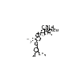 Cc1c(OCc2ccc(C3CC3)c(C(F)(F)F)c2)ccc2c1CCN2C(=O)CC(C(=O)O)N(C)C(=O)OC(C)(C)C